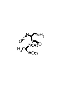 CC(N=C=O)N=C=O.O=C=NC(C[SiH3])N=C=O